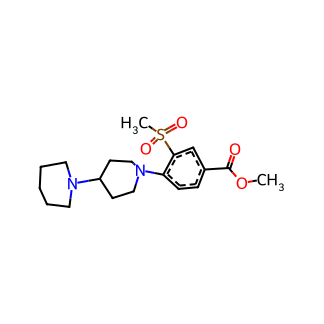 COC(=O)c1ccc(N2CCC(N3CCCCC3)CC2)c(S(C)(=O)=O)c1